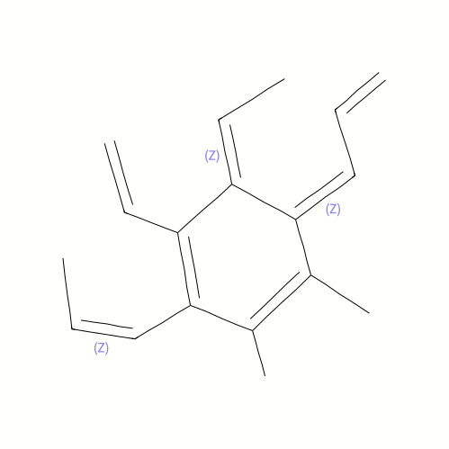 C=C/C=c1/c(C)c(C)c(/C=C\C)c(C=C)/c1=C/C